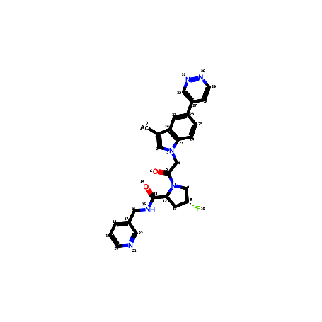 CC(=O)c1cn(CC(=O)N2C[C@H](F)CC2C(=O)NCc2cccnc2)c2ccc(-c3ccnnc3)cc12